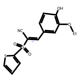 CCOc1cc(/C=C(\C#N)S(=O)(=O)c2cccs2)ccc1O